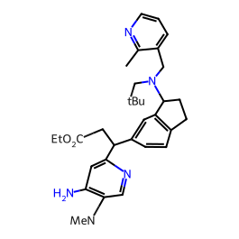 CCOC(=O)CC(c1ccc2c(c1)C(N(Cc1cccnc1C)CC(C)(C)C)CC2)c1cc(N)c(NC)cn1